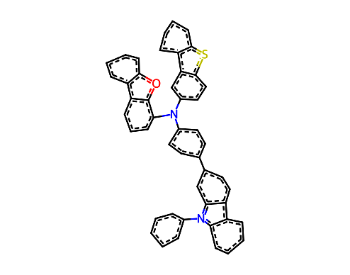 c1ccc(-n2c3ccccc3c3ccc(-c4ccc(N(c5ccc6sc7ccccc7c6c5)c5cccc6c5oc5ccccc56)cc4)cc32)cc1